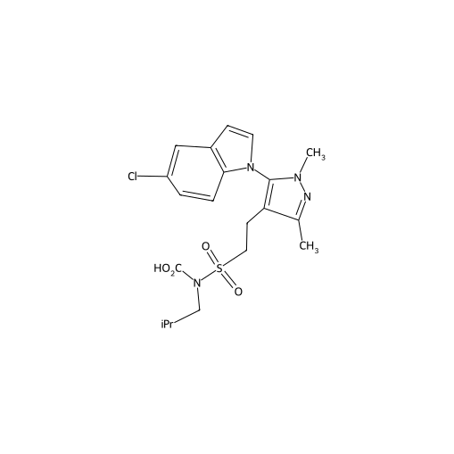 Cc1nn(C)c(-n2ccc3cc(Cl)ccc32)c1CCS(=O)(=O)N(CC(C)C)C(=O)O